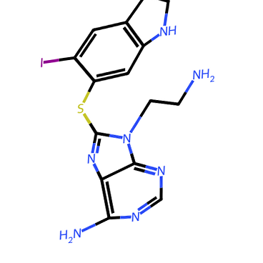 NCCn1c(Sc2cc3c(cc2I)CCN3)nc2c(N)ncnc21